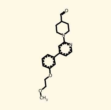 COCCOc1cccc(-c2ccnc(N3CCC(C=O)CC3)c2)c1